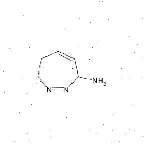 NC1C=CCCN=N1